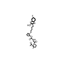 CC(=O)[C@@H]1[C@H](C)CCN1C(=O)CNC(=O)OC1CCC[C@H]1CCCCCc1nc2ccc(F)cc2nc1O